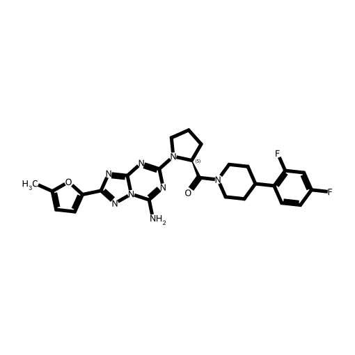 Cc1ccc(-c2nc3nc(N4CCC[C@H]4C(=O)N4CCC(c5ccc(F)cc5F)CC4)nc(N)n3n2)o1